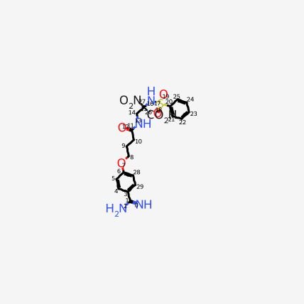 N=C(N)c1ccc(OCCCC(=O)NC[C@](NS(=O)(=O)c2ccccc2)(C(=O)O)[N+](=O)[O-])cc1